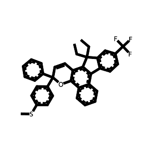 CCC1(CC)c2cc(C(F)(F)F)ccc2-c2c1c1c(c3ccccc23)OC(c2ccccc2)(c2ccc(SC)cc2)C=C1